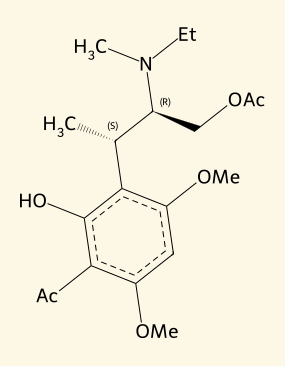 CCN(C)[C@@H](COC(C)=O)[C@@H](C)c1c(OC)cc(OC)c(C(C)=O)c1O